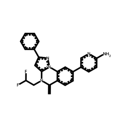 C=C1c2ccc(-c3ccc(N)nc3)cc2-n2nc(-c3ccccc3)cc2N1CC(F)F